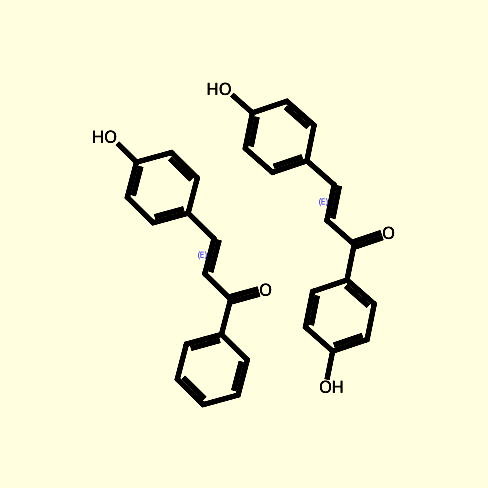 O=C(/C=C/c1ccc(O)cc1)c1ccc(O)cc1.O=C(/C=C/c1ccc(O)cc1)c1ccccc1